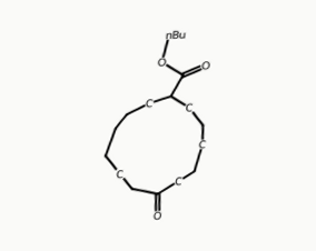 CCCCOC(=O)C1CCCCCCC(=O)CCCCC1